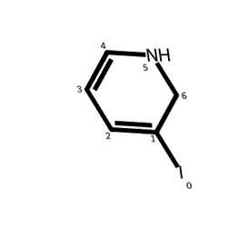 IC1=CC=CNC1